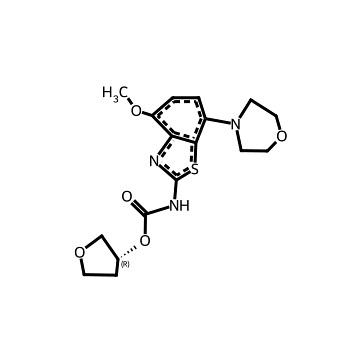 COc1ccc(N2CCOCC2)c2sc(NC(=O)O[C@@H]3CCOC3)nc12